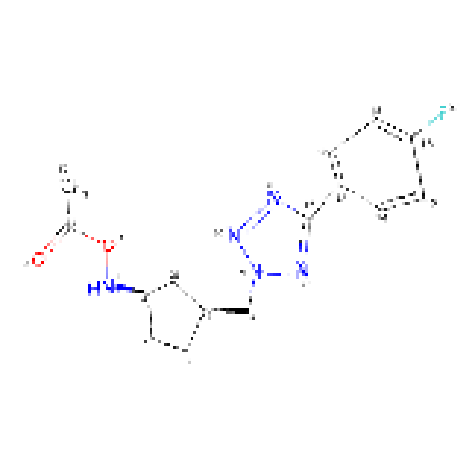 O=C(ON[C@@H]1CC[C@H](Cn2nnc(-c3ccc(F)cc3)n2)C1)C(F)(F)F